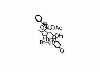 CC(=O)OCC(=O)[C@@]1(OC(=O)c2ccccc2)C(C)C[C@H]2[C@@H]3C(Br)CC4=CC(=O)C=C[C@]4(C)[C@H]3C(O)C[C@@]21C